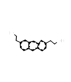 OCCc1ccc2cc3ccc(CCO)cc3cc2c1